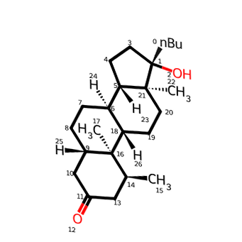 CCCC[C@]1(O)CC[C@H]2[C@@H]3CC[C@H]4CC(=O)C[C@H](C)[C@]4(C)[C@H]3CC[C@@]21C